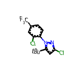 CC(C)(C)c1cc(Cl)nn1-c1ccc(C(F)(F)F)cc1Cl